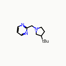 CC(C)(C)C1CCN(Cc2ncccn2)C1